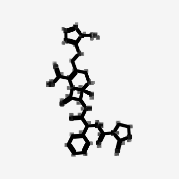 Cn1nnnc1SCC1=C(C(=O)O)N2C(=O)C(NC(=O)C(NC(=O)N3CCOC3=O)c3ccccc3)[C@H]2SC1